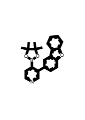 CC1(C)OB(c2ccncc2-c2ccc3oc4ccccc4c3c2)OC1(C)C